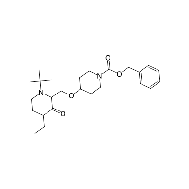 CCC1CCN(C(C)(C)C)C(COC2CCN(C(=O)OCc3ccccc3)CC2)C1=O